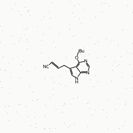 CCC(C)Oc1ncnc2[nH]cc(C/C=C/C#N)c12